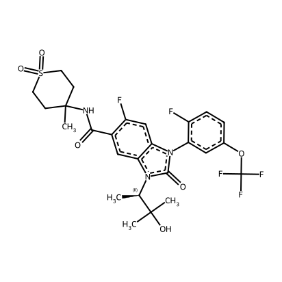 C[C@@H](n1c(=O)n(-c2cc(OC(F)(F)F)ccc2F)c2cc(F)c(C(=O)NC3(C)CCS(=O)(=O)CC3)cc21)C(C)(C)O